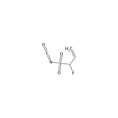 C=CC(F)S(=O)(=O)N=C=O